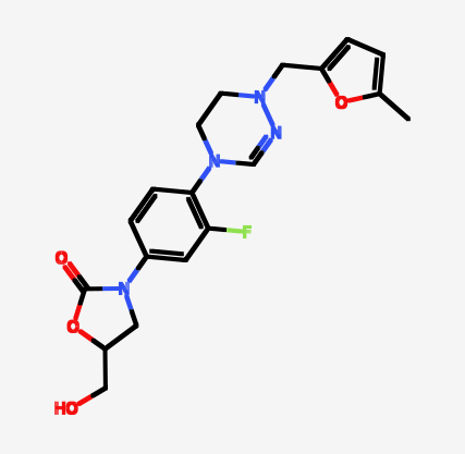 Cc1ccc(CN2CCN(c3ccc(N4CC(CO)OC4=O)cc3F)C=N2)o1